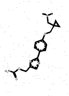 CN(C)CC1(COc2ccc(-c3ncc(COC(N)=O)s3)cc2)CC1